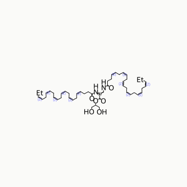 CC/C=C\C/C=C\C/C=C\C/C=C\C/C=C\C/C=C\CCC(=O)NC[C@H](NC(=O)CC/C=C\C/C=C\C/C=C\C/C=C\C/C=C\C/C=C\CC)C(=O)OC(CO)CO